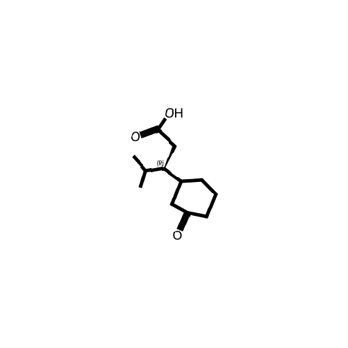 CC(C)[C@@H](CC(=O)O)C1CCCC(=O)C1